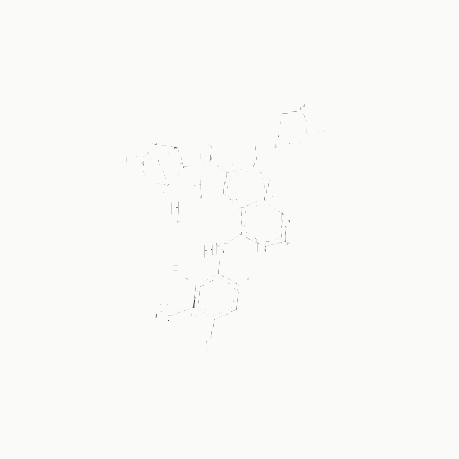 Fc1c(Nc2ncnc3cc(O[C@@H]4CCOC4)c(O[C@@H]4[C@@H]5CNC[C@H]4C5)cc23)ccc(Cl)c1Cl